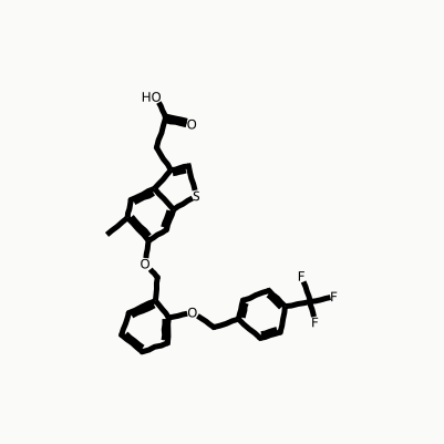 Cc1cc2c(CC(=O)O)csc2cc1OCc1ccccc1OCc1ccc(C(F)(F)F)cc1